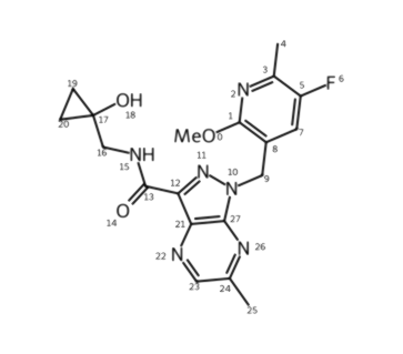 COc1nc(C)c(F)cc1Cn1nc(C(=O)NCC2(O)CC2)c2ncc(C)nc21